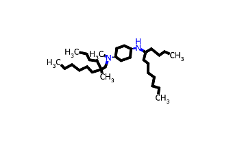 CCCCCCCC(CCCC)N[C@H]1CC[C@H](N(C)CC(C)(CCCC)CCCCCC)CC1